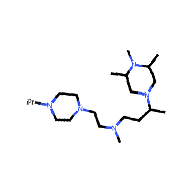 CC(C)N1CCN(CCN(C)CCC(C)N2CC(C)N(C)C(C)C2)CC1